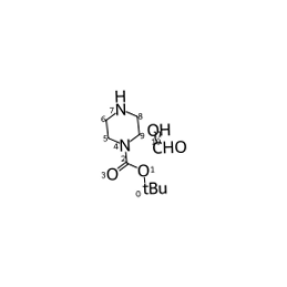 CC(C)(C)OC(=O)N1CCNCC1.O=CO